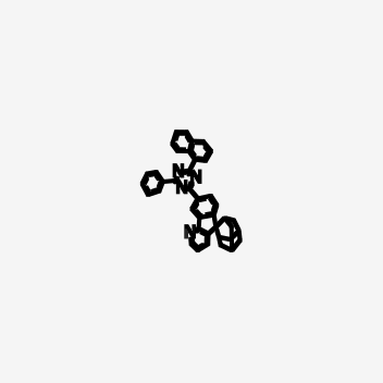 c1ccc(-c2nc(-c3ccc4c(c3)-c3ncccc3C43C4CC5CC(C4)CC3C5)nc(-c3cccc4ccccc34)n2)cc1